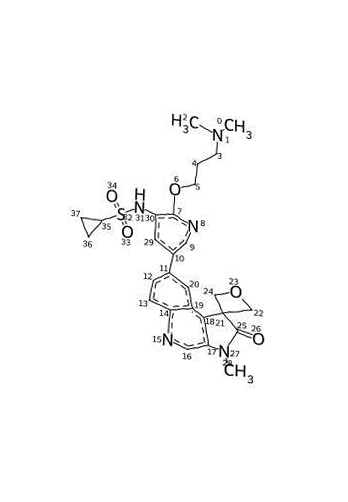 CN(C)CCCOc1ncc(-c2ccc3ncc4c(c3c2)C2(COC2)C(=O)N4C)cc1NS(=O)(=O)C1CC1